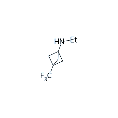 CCNC12CC(C(F)(F)F)(C1)C2